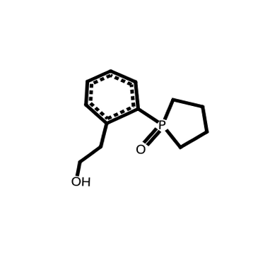 O=P1(c2ccccc2CCO)CCCC1